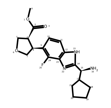 COC(=O)[C@@H]1COC[C@@H]1c1ccc2[nH]c([C@@H](N)C3CCCC3)nc2c1F